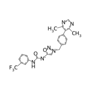 Cc1ncnc(C)c1-c1ccc(C[n+]2cc([N-]C(=O)Nc3cccc(C(F)(F)F)c3)on2)cc1